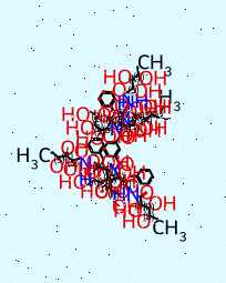 CC[C@H](O)[C@@H](O)[C@H](O)C(=O)NO[C@@]1(Cc2ccccc2)O[C@H](CO)[C@@H](O)[C@H](O)[C@@]1(O)N(C(=O)c1cccc(C(=O)N([C@]2(O)[C@@H](O)[C@H](O)[C@@H](CO)O[C@]2(Cc2ccccc2)ONC(=O)[C@@H](O)[C@H](O)[C@@H](O)CC)[C@]2(O)[C@@H](O)[C@H](O)[C@@H](CO)O[C@]2(Cc2ccccc2)ONC(=O)[C@@H](O)[C@H](O)[C@@H](O)CC)c1)[C@]1(O)[C@@H](O)[C@H](O)[C@@H](CO)O[C@]1(Cc1ccccc1)ONC(=O)[C@@H](O)[C@H](O)[C@@H](O)CC